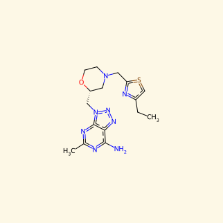 CCc1csc(CN2CCO[C@@H](Cn3nnc4c(N)nc(C)nc43)C2)n1